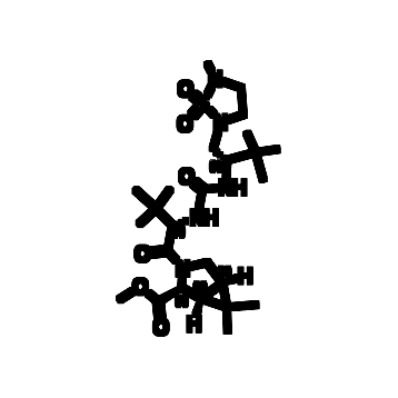 COC(=O)[C@@H]1[C@@H]2[C@H](CN1C(=O)[C@@H](NC(=O)N[C@H](CN1CCN(C)S1(=O)=O)C(C)(C)C)C(C)(C)C)C2(C)C